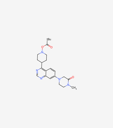 CN1CCN(c2ccc3c(C4CCN(OC(=O)C(C)(C)C)CC4)ncnc3c2)CC1=O